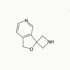 c1cc2c(cn1)C1(CNC1)OC2